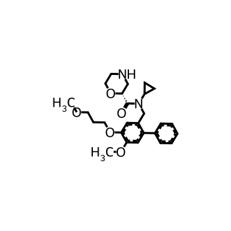 COCCCOc1cc(CN(C(=O)[C@H]2CNCCO2)C2CC2)c(-c2ccccc2)cc1OC